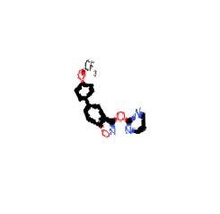 FC(F)(F)Oc1ccc(-c2ccc3onc(Oc4ncccn4)c3c2)cc1